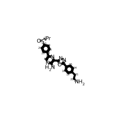 CC(C)[S+]([O-])c1ccc(-c2cnc(N)c(-c3nnc(-c4ccc(CCN)cc4)o3)n2)cc1